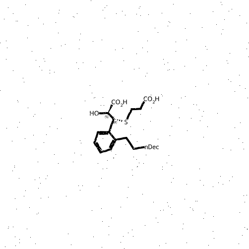 CCCCCCCCCCCCc1ccccc1[C@@H](SCCC(=O)O)[C@@H](O)C(=O)O